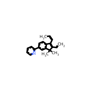 C=CC1=C(/C=C\C)c2ccc(-c3ccccn3)cc2C1(C)C